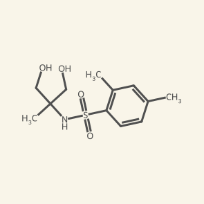 Cc1ccc(S(=O)(=O)NC(C)(CO)CO)c(C)c1